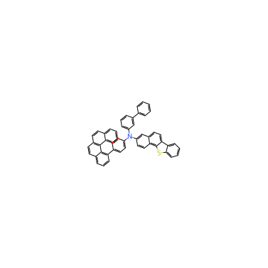 c1ccc(-c2cccc(N(c3ccc(-c4cccc5ccc6ccc7ccccc7c6c45)cc3)c3ccc4c(ccc5c6ccccc6sc45)c3)c2)cc1